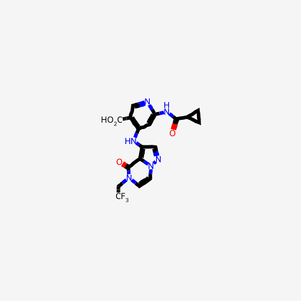 O=C(O)c1cnc(NC(=O)C2CC2)cc1Nc1cnn2ccn(CC(F)(F)F)c(=O)c12